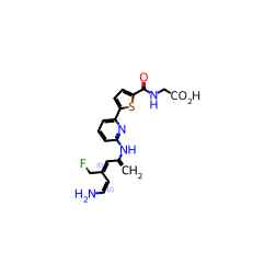 C=C(/C=C(\C=C/N)CF)Nc1cccc(-c2ccc(C(=O)NCC(=O)O)s2)n1